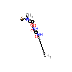 CCCCCCCCCCCCCCCC(=O)Nc1ccc(C(=O)NCC(=O)Oc2cccc3c2CC[C@H](N(CCC)CCc2cccs2)C3)cc1